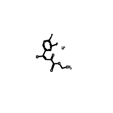 CCOC(=O)C(=O)/C=C(/[O-])c1ccc(F)c(F)c1.[Li+]